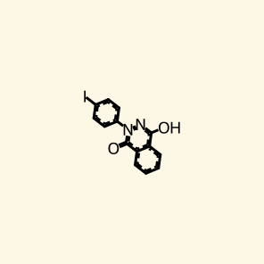 O=c1c2ccccc2c(O)nn1-c1ccc(I)cc1